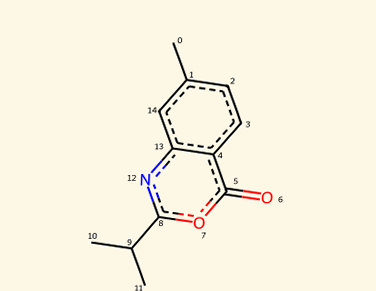 Cc1ccc2c(=O)oc(C(C)C)nc2c1